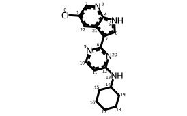 Clc1cnc2[nH]cc(-c3nccc(NC4CCCCC4)n3)c2c1